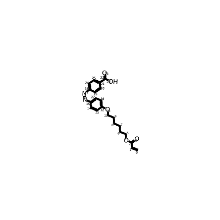 C=CC(=O)OCCCCCCOc1ccc(/N=N\c2ccc(C(=O)O)cc2)cc1